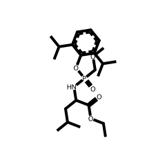 CCOC(=O)C(CC(C)C)NP(=O)(COC)Oc1c(C(C)C)cccc1C(C)C